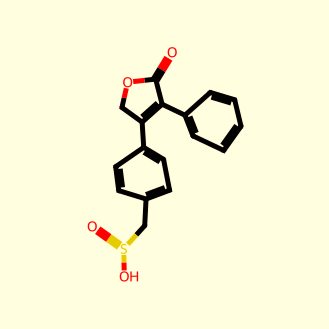 O=C1OCC(c2ccc(CS(=O)O)cc2)=C1c1ccccc1